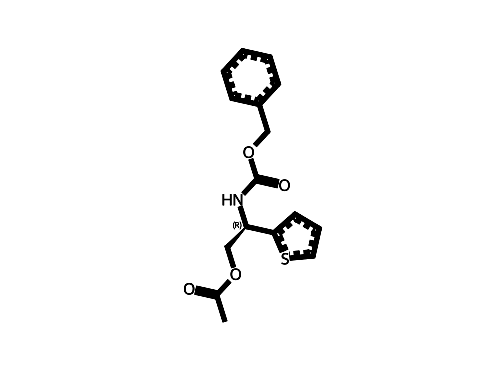 CC(=O)OC[C@@H](NC(=O)OCc1ccccc1)c1cccs1